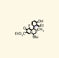 CC/C=c1\c(O)ccc\c1=C1/c2c(F)c(=O)c(C(=O)OCC)cn2C(C(C)(C)C)CN1C